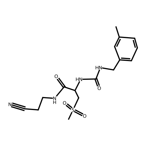 Cc1cccc(CNC(=O)NC(CS(C)(=O)=O)C(=O)NCCC#N)c1